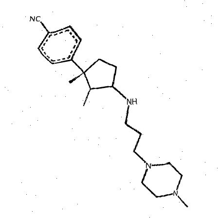 CC1C(NCCCN2CCN(C)CC2)CC[C@@]1(C)c1ccc(C#N)cc1